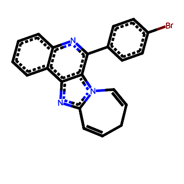 Brc1ccc(-c2nc3ccccc3c3nc4n(c23)C=CCC=C4)cc1